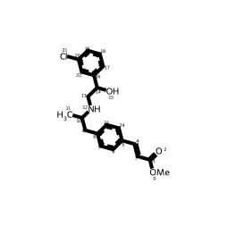 COC(=O)/C=C/c1ccc(CC(C)NCC(O)c2cccc(Cl)c2)cc1